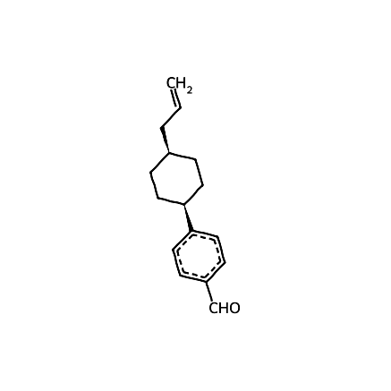 C=CC[C@H]1CC[C@@H](c2ccc(C=O)cc2)CC1